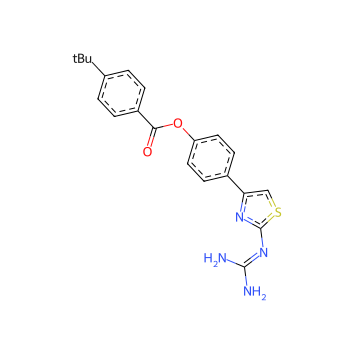 CC(C)(C)c1ccc(C(=O)Oc2ccc(-c3csc(N=C(N)N)n3)cc2)cc1